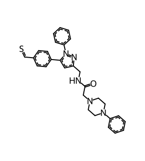 O=C(CN1CCN(c2ccccc2)CC1)NCc1cc(-c2ccc(C=S)cc2)n(-c2ccccc2)n1